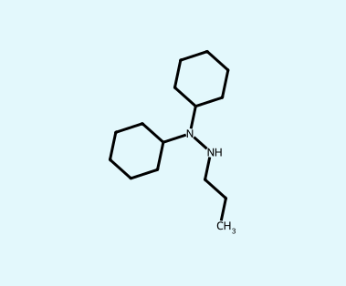 CCCNN(C1CCCCC1)C1CCCCC1